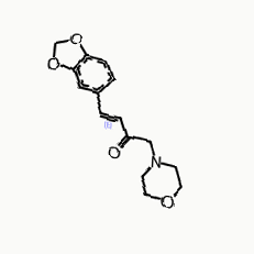 O=C(/C=C/c1ccc2c(c1)OCO2)CN1CCOCC1